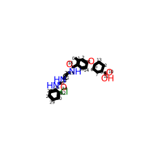 Cc1cc(O[C@H]2CC[C@@H](C(=O)O)CC2)ccc1C(=O)NCCNC(=O)Nc1ccccc1Cl